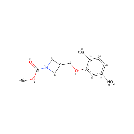 CC(C)(C)OC(=O)N1CC(COc2cc([N+](=O)[O-])ccc2C(C)(C)C)C1